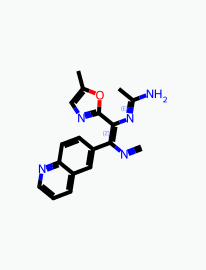 C=N/C(=C(\N=C(/C)N)c1ncc(C)o1)c1ccc2ncccc2c1